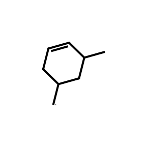 [CH2]C1CC=CC(C)C1